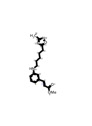 COC(=O)/C=C/c1cccc(NCCCCCc2nc(C)no2)c1